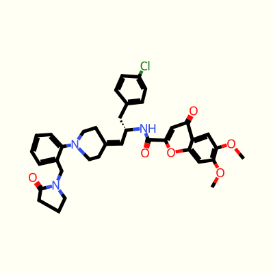 COc1cc2oc(C(=O)N[C@H](C=C3CCN(c4ccccc4CN4CCCC4=O)CC3)Cc3ccc(Cl)cc3)cc(=O)c2cc1OC